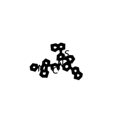 c1ccc(-n2c3ccccc3c3c(-c4cccc(N(c5ccc(-c6ccc7ccccc7c6)cc5)c5ccc(-c6cccc7ccccc67)c6sc7ccccc7c56)c4)cccc32)cc1